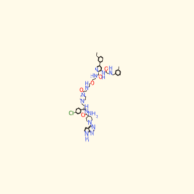 CCc1cccc(-c2cnc(C(=O)NCCOCCNCC(=O)N3CCN(CC[C@H](NC(=O)C4(N)CCN(c5ncnc6[nH]ccc56)CC4)c4ccc(Cl)cc4)CC3)c(NC(=O)CNCc3cccc(C)c3)c2)c1